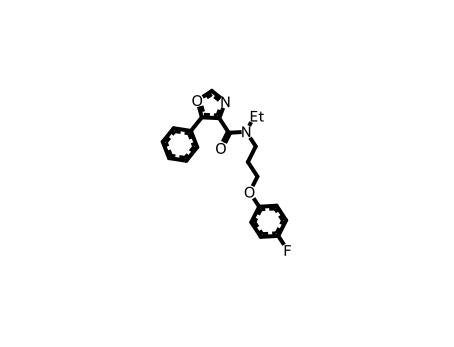 CCN(CCCOc1ccc(F)cc1)C(=O)c1ncoc1-c1ccccc1